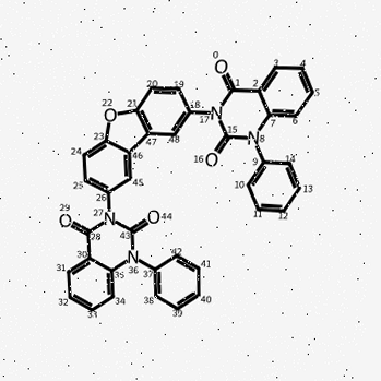 O=c1c2ccccc2n(-c2ccccc2)c(=O)n1-c1ccc2oc3ccc(-n4c(=O)c5ccccc5n(-c5ccccc5)c4=O)cc3c2c1